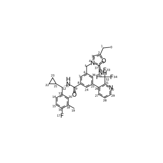 CCc1cn(Cc2cc(C(=O)N[C@H](c3ccc(F)c(C)c3)C3CC3)cc(-c3cccnc3C(F)(F)F)c2)c(=N)o1